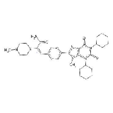 CN1CCN(/C(=C/c2ccc(-c3nc4c(=O)n(C5CCCCC5)c(=O)n(C5CCCCC5)c4n3C)cc2)C(N)=O)CC1